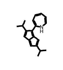 CC(C)C1=CC2=C(C3=CC=CC=CN3)C(C(C)C)=CC2=C1